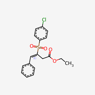 CCOC(=O)C/C(=C\c1ccccc1)S(=O)(=O)c1ccc(Cl)cc1